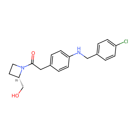 O=C(Cc1ccc(NCc2ccc(Cl)cc2)cc1)N1CC[C@H]1CO